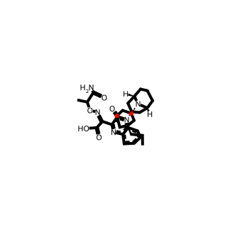 CCC[C@H]1CCC[C@H](N2[C@@H]3CCC[C@H]2C[C@@H](n2c(=O)c(/C(=N/OC(C)C(N)=O)C(=O)O)nc4ccccc42)C3)C1